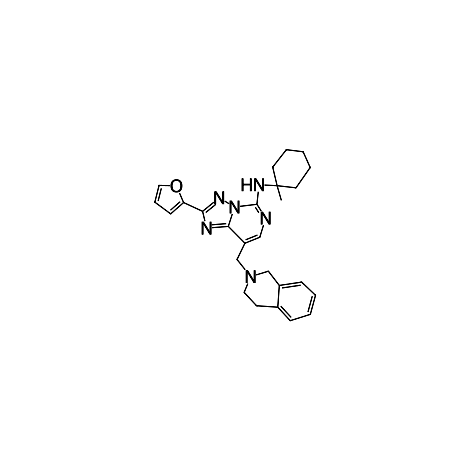 CC1(Nc2ncc(CN3CCc4ccccc4C3)c3nc(-c4ccco4)nn23)CCCCC1